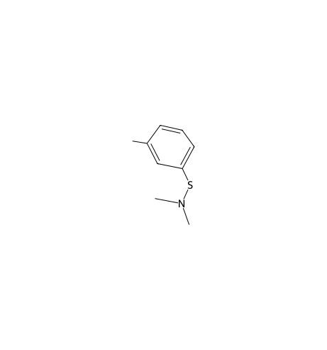 Cc1cccc(SN(C)C)c1